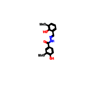 COc1cc(C(=O)NN=Cc2cccc(OC)c2O)ccc1O